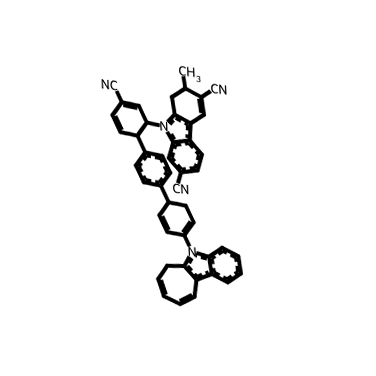 CC1Cc2c(c3ccc(C#N)cc3n2C2C=C(C#N)C=CC2c2ccc(C3C=CC(n4c5c(c6ccccc64)C=CC=CC5)=CC3)cc2)C=C1C#N